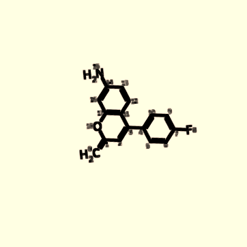 C=C1C=C(c2ccc(F)cc2)c2ccc(N)cc2O1